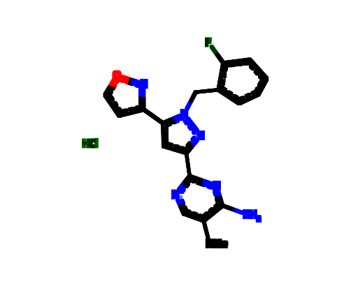 CNc1cnc(-c2cc(-c3ccon3)n(Cc3ccccc3F)n2)nc1N.Cl